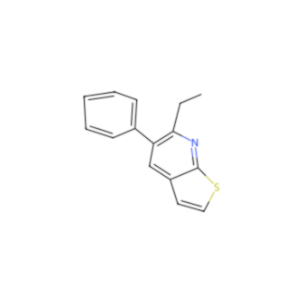 CCc1nc2sccc2cc1-c1ccccc1